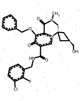 CN1C[C@]2(C[C@H](CO)C2)n2cc(C(=O)NCc3cccc(Cl)c3F)c(=O)c(OCc3ccccc3)c2C1=O